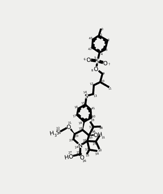 Cc1ccc(S(=O)(=O)OCC(C)CCSc2ccc([C@@H]3[C@H](O[SiH3])CN(C(=O)O)C(C(C)C)(C(C)C)[C@@]3(O)C(C)C)cc2)cc1